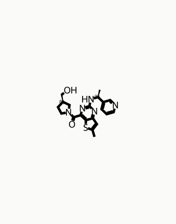 Cc1cc2nc(N[C@@H](C)c3cccnc3)nc(C(=O)N3CC[C@@H](CO)C3)c2s1